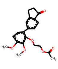 COc1ccc(-c2ccc3c(c2)CCC3=O)c(OCCOC(C)=O)c1OC